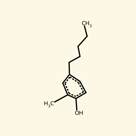 CCCCCc1ccc(O)c(C)c1